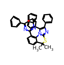 CC1(C)Sc2nc(-c3ccccc3)c(-c3ccccc3)n2-c2c(-c3nc(-c4ccccc4)c4ccccc4n3)cccc21